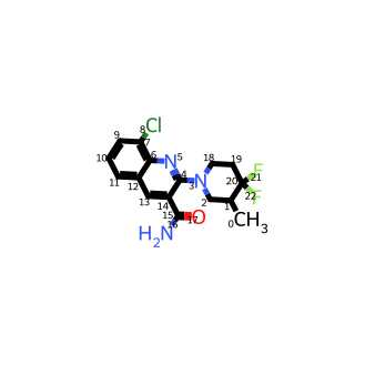 CC1CN(c2nc3c(Cl)cccc3cc2C(N)=O)CCC1(F)F